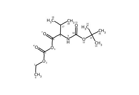 CCOC(=O)OC(=O)C(NC(=O)OC(C)(C)C)C(C)C